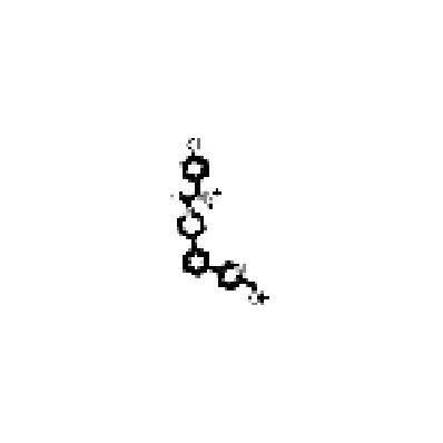 CN(C)[C@H](C(=O)N1CCC(c2cccc(-c3ccc(CO)nc3)c2)CC1)c1ccc(Cl)cc1